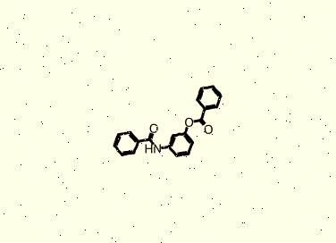 O=C(Nc1cccc(OC(=O)c2ccccc2)c1)c1ccccc1